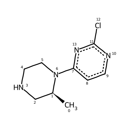 C[C@H]1CNCCN1c1ccnc(Cl)n1